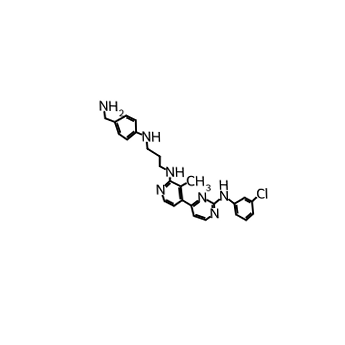 Cc1c(-c2ccnc(Nc3cccc(Cl)c3)n2)ccnc1NCCCNc1ccc(CN)cc1